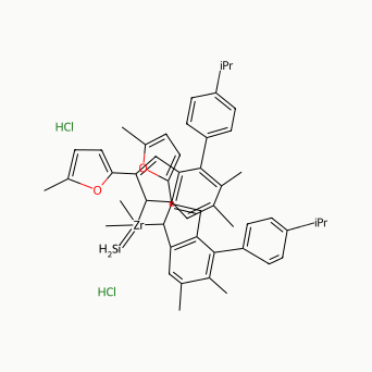 Cc1ccc(C2=Cc3c(cc(C)c(C)c3-c3ccc(C(C)C)cc3)[CH]2[Zr]([CH3])([CH3])(=[SiH2])[CH]2C(c3ccc(C)o3)=Cc3c2cc(C)c(C)c3-c2ccc(C(C)C)cc2)o1.Cl.Cl